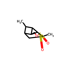 CC1C2CC3(C)C4C1C24COS3(=O)=O